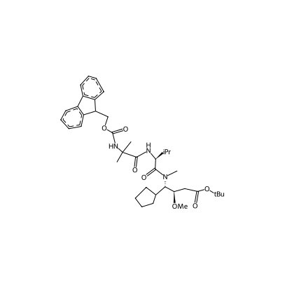 CO[C@H](CC(=O)OC(C)(C)C)[C@H](C1CCCC1)N(C)C(=O)[C@@H](NC(=O)C(C)(C)NC(=O)OCC1c2ccccc2-c2ccccc21)C(C)C